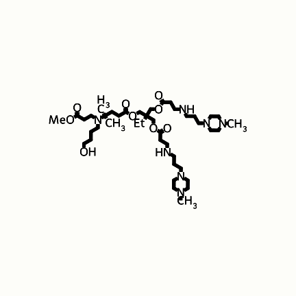 CCC(COC(=O)CCNCCCN1CCN(C)CC1)(COC(=O)CCNCCCN1CCN(C)CC1)COC(=O)CCC(C)(C)N(CCCCO)CCC(=O)OC